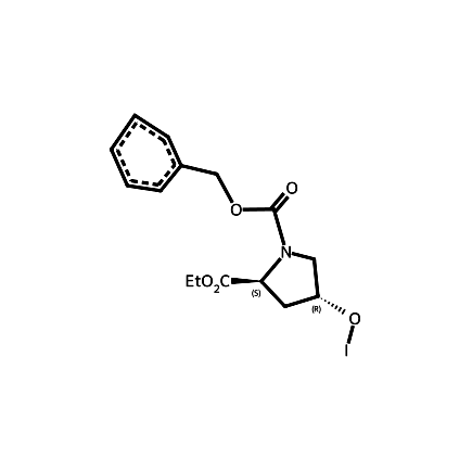 CCOC(=O)[C@@H]1C[C@@H](OI)CN1C(=O)OCc1ccccc1